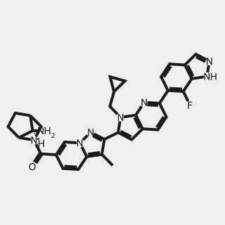 Cc1c(-c2cc3ccc(-c4ccc5cn[nH]c5c4F)nc3n2CC2CC2)nn2cc(C(=O)N3CC4CCC3[C@@H]4N)ccc12